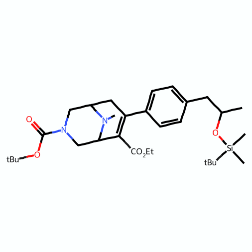 CCOC(=O)C1=C(c2ccc(CC(C)O[Si](C)(C)C(C)(C)C)cc2)CC2CN(C(=O)OC(C)(C)C)CC1N2C